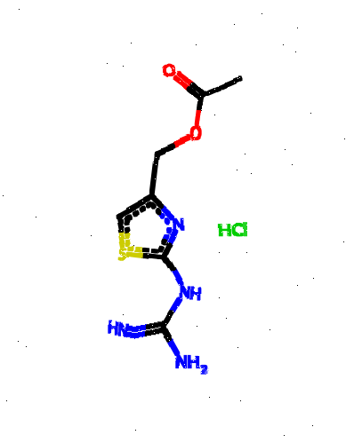 CC(=O)OCc1csc(NC(=N)N)n1.Cl